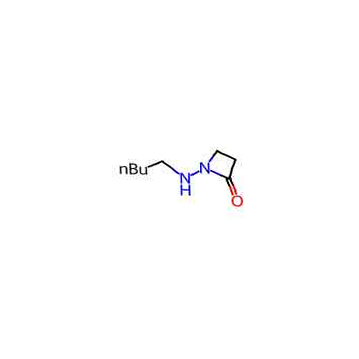 CCCCCNN1CCC1=O